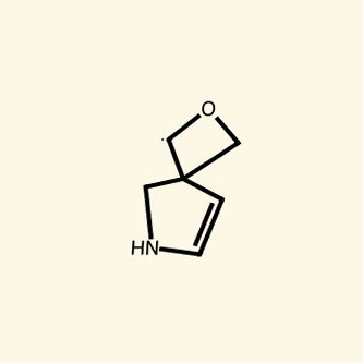 [CH]1OCC12C=CNC2